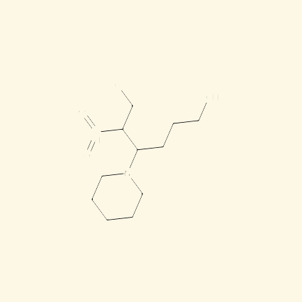 CCCCC(C(CC)[SH](=O)=O)N1CCCCC1